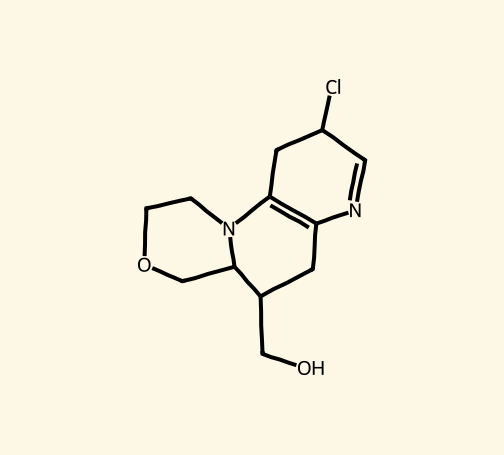 OCC1CC2=C(CC(Cl)C=N2)N2CCOCC12